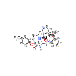 CCN(CCN(C)C(=O)C1(Oc2ccc(C(F)(F)F)cc2)CCCN(C(=O)c2cnccc2C(F)(F)F)C1)c1ccccc1OC(C)C